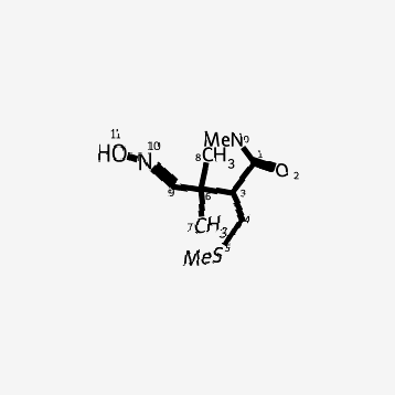 CNC(=O)C(CSC)C(C)(C)C=NO